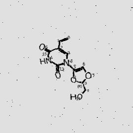 C=Cc1cn(C2=CO[C@@H](CO)O2)c(=O)[nH]c1=O